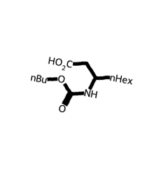 CCCCCCC(CC(=O)O)NC(=O)OCCCC